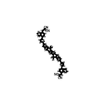 CC1(C)c2c(sc3cc(-c4ccc(-c5ccc(C=C(C#N)C#N)c6nsnc56)s4)sc23)-c2sc3c4c(sc3c21)-c1sc2cc(-c3ccc(-c5ccc(C=C(C#N)C#N)c6nsnc56)s3)sc2c1C4(C)C